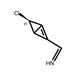 N=CC1=C2C1[C@H]2Cl